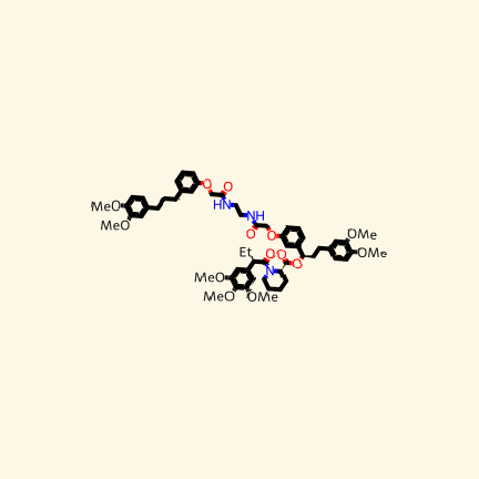 CC[C@H](C(=O)N1CCCC[C@H]1C(=O)O[C@H](CCc1ccc(OC)c(OC)c1)c1cccc(OCC(=O)NCCNC(=O)COc2cccc([CH]CCc3ccc(OC)c(OC)c3)c2)c1)c1cc(OC)c(OC)c(OC)c1